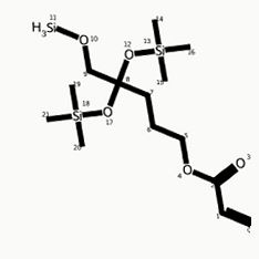 C=CC(=O)OCCCC(CO[SiH3])(O[Si](C)(C)C)O[Si](C)(C)C